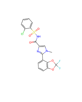 Cn1cc(C(=O)NS(=O)(=O)c2ccccc2Cl)nc1-c1cccc2c1OC(F)(F)O2